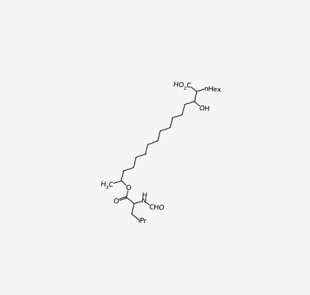 CCCCCCC(C(=O)O)C(O)CCCCCCCCCCCC(C)OC(=O)C(CC(C)C)NC=O